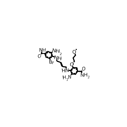 COCCCOc1cc(C(N)=O)cc(N)c1NCC=CCNc1c(N)cc(C(N)=O)cc1Br